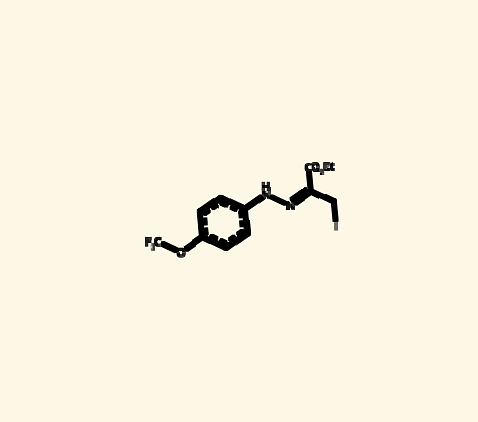 CCOC(=O)/C(CI)=N\Nc1ccc(OC(F)(F)F)cc1